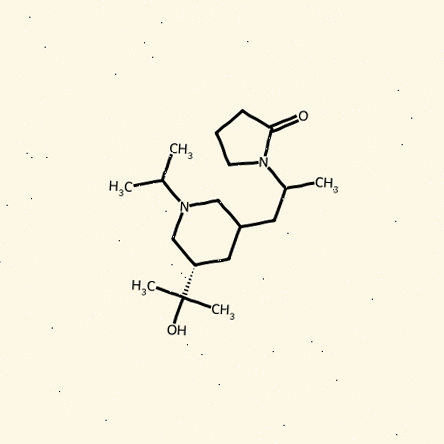 CC(C)N1CC(CC(C)N2CCCC2=O)C[C@H](C(C)(C)O)C1